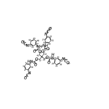 O=C=Nc1cccc(NC(=O)OCC(COC(=O)Nc2cccc(N=C=O)c2)(COC(=O)Nc2cccc(N=C=O)c2)COC(=O)Nc2cccc(N=C=O)c2)c1